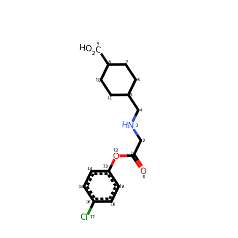 O=C(CNCC1CCC(C(=O)O)CC1)Oc1ccc(Cl)cc1